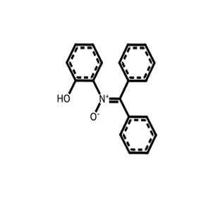 [O-][N+](=C(c1ccccc1)c1ccccc1)c1ccccc1O